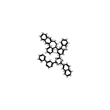 c1ccc(-c2cccc(-c3nc(-c4ccc5ccccc5c4)nc(-c4cc(C5CCc6cc7ccccc7cc6-c6ccccc65)c5c(c4)sc4ccccc45)n3)c2)cc1